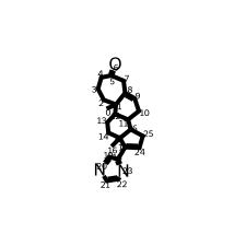 CC12CCCC(=O)CC1=CCC1C2CCC2(C)C(c3cnccn3)=CCC12